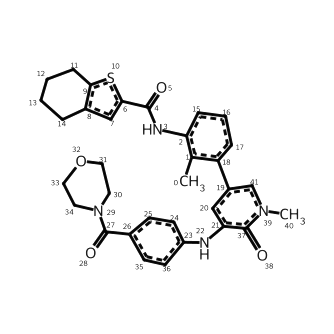 Cc1c(NC(=O)c2cc3c(s2)CCCC3)cccc1-c1cc(Nc2ccc(C(=O)N3CCOCC3)cc2)c(=O)n(C)c1